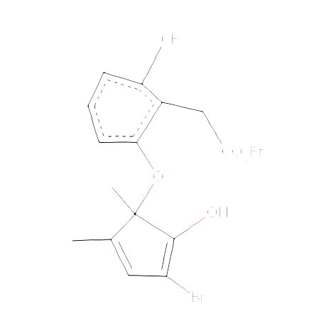 CCOC(=O)Cc1c(OC2(C)C(C)=CC(Br)=C2O)cccc1C(F)(F)F